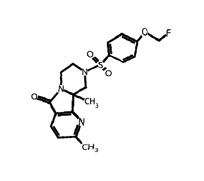 Cc1ccc2c(n1)C1(C)CN(S(=O)(=O)c3ccc(OCF)cc3)CCN1C2=O